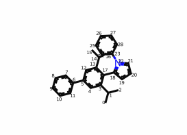 CC(C)c1cc(-c2ccccc2)cc(C(C)C)c1-c1cccn1-c1ccccc1